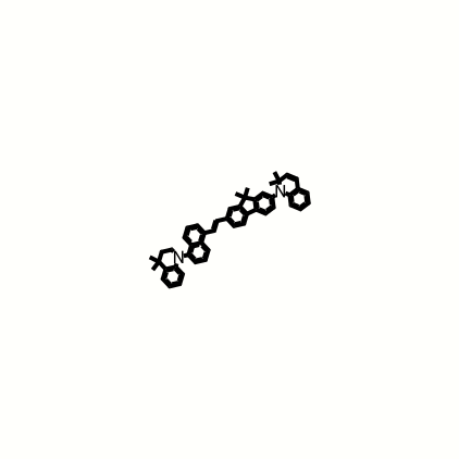 CC1(C)CCN(c2cccc3c(/C=C/c4ccc5c(c4)C(C)(C)c4cc(N6c7ccccc7C=CC6(C)C)ccc4-5)cccc23)c2ccccc21